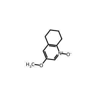 COc1cc2c([n+]([O-])c1)CCCC2